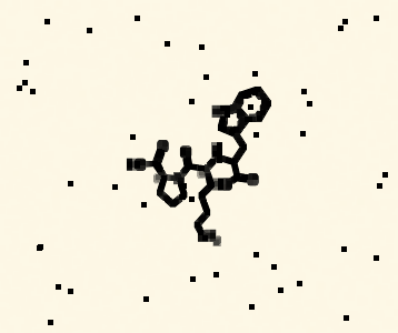 NCCCC[C@H](NC(Cc1c[nH]c2ccccc12)C(=O)O)C(=O)N1CCC[C@H]1C(=O)O